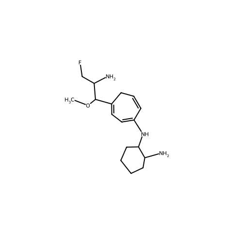 COC(C1=CC=C(NC2CCCCC2N)C=CC1)C(N)CF